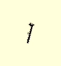 CCCCCCCCOC(=O)CCCCCCCC1(CC(C)C)CO1